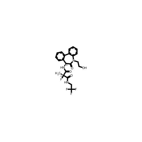 C[C@](F)(C(=O)NCC(F)(F)F)C(=O)N[C@@H]1C(=O)N(CCO)c2ccccc2-c2ccccc21